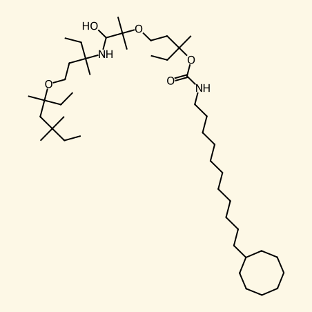 CCC(C)(C)CC(C)(CC)OCCC(C)(CC)NC(O)C(C)(C)OCCC(C)(CC)OC(=O)NCCCCCCCCCCCC1CCCCCCC1